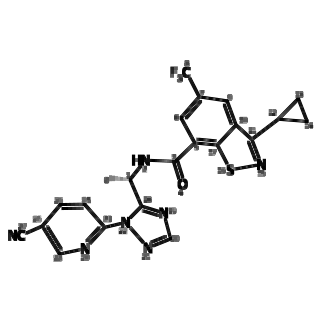 C[C@H](NC(=O)c1cc(C(F)(F)F)cc2c(C3CC3)nsc12)c1ncnn1-c1ccc(C#N)cn1